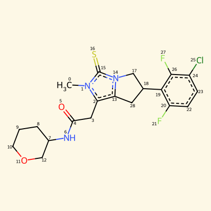 Cn1c(CC(=O)NC2CCCOC2)c2n(c1=S)CC(c1c(F)ccc(Cl)c1F)C2